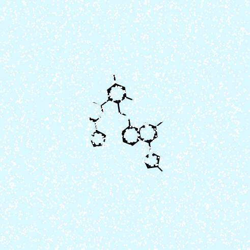 Cc1cc(Cl)c(COc2cccc3c(-n4cc(F)cn4)cc(C)nc23)c([C@H](C)NC(=O)c2cncs2)c1